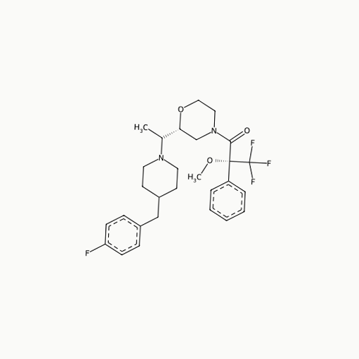 CO[C@@](C(=O)N1CCO[C@@H](C(C)N2CCC(Cc3ccc(F)cc3)CC2)C1)(c1ccccc1)C(F)(F)F